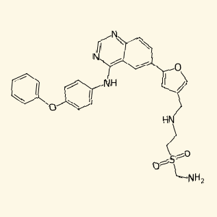 NCS(=O)(=O)CCNCc1coc(-c2ccc3ncnc(Nc4ccc(Oc5ccccc5)cc4)c3c2)c1